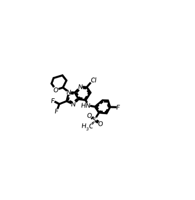 CS(=O)(=O)c1cc(F)ccc1Nc1cc(Cl)nc2c1nc(C(F)F)n2C1CCCCO1